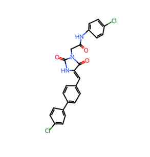 O=C(CN1C(=O)N/C(=C\c2ccc(-c3ccc(Cl)cc3)cc2)C1=O)Nc1ccc(Cl)cc1